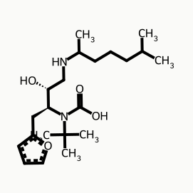 CC(C)CCCC(C)NC[C@@H](O)[C@H](Cc1ccco1)N(C(=O)O)C(C)(C)C